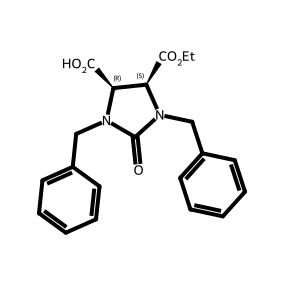 CCOC(=O)[C@@H]1[C@H](C(=O)O)N(Cc2ccccc2)C(=O)N1Cc1ccccc1